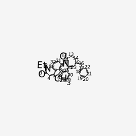 CCn1c(=O)cc(C)c2cc(N3C(=O)CCC(Cc4ccccc4)C=C3c3ccccc3)ccc21